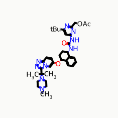 CC(=O)OCc1nc(NC(=O)N[C@H]2CC[C@@H](Oc3ccc4nnc(C(C)(C)N5CCN(C)CC5)n4c3)c3ccccc32)cc(C(C)(C)C)n1